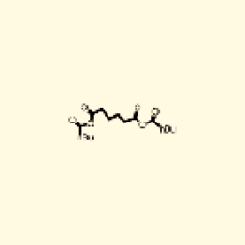 CCCCC(=O)OC(=O)CCCCC(=O)OC(=O)CCCC